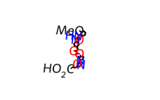 COc1ccccc1Nc1nc2ccc(CC(=O)C(C)O[C@H]3CCN(c4ncc(CCC(=O)O)o4)C3)cc2o1